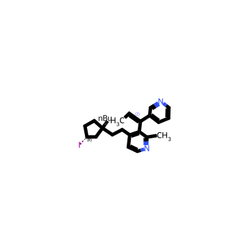 C/C=C(/c1cccnc1)c1c(CCC2(CCCC)CC[C@@H](I)C2)ccnc1C